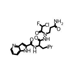 CC(C)CC(NC(=O)c1cc2ncccc2[nH]1)C(=O)NN(CCC(N)=O)C(=O)C(F)Cl